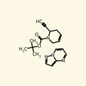 C#CC1CC=CCN1C(=O)OC(C)(C)C.c1cnc2ccnn2c1